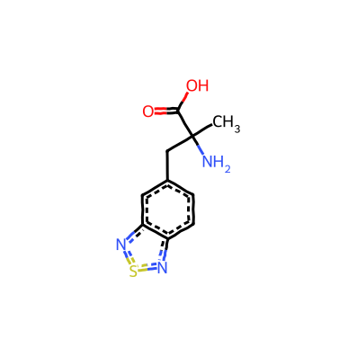 CC(N)(Cc1ccc2nsnc2c1)C(=O)O